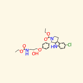 CCOC(=O)NC[C@@H](O)COc1ccc([C@H]2c3[nH]c4ccc(Cl)cc4c3CCN2C(=O)OCC)cc1